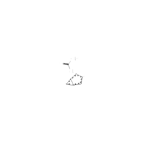 O=C(O)Cl.c1cc2cc-2c1